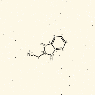 N#CCN1Nc2ccccc2S1